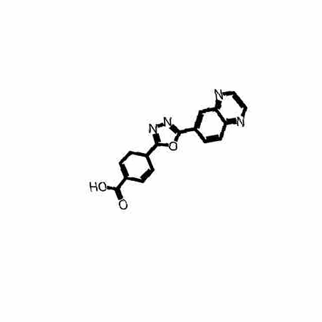 O=C(O)C1=CCC(c2nnc(-c3ccc4nccnc4c3)o2)C=C1